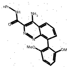 CCCNC(=O)c1nnc2c(-c3c(OC)cccc3OC)cccc2c1N